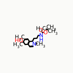 CC1=CC2=C(C=CN(C)C2CCCNC(=O)OC(C)(C)C)CC1(C)O